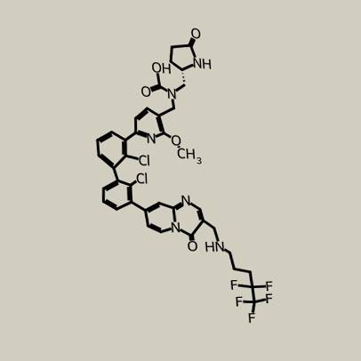 COc1nc(-c2cccc(-c3cccc(-c4ccn5c(=O)c(CNCCCC(F)(F)C(F)(F)F)cnc5c4)c3Cl)c2Cl)ccc1CN(C[C@@H]1CCC(=O)N1)C(=O)O